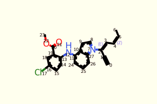 C#C/C(=C\C=C/C)n1ccc2c(Nc3ccc(Cl)cc3C(=O)OC)cccc21